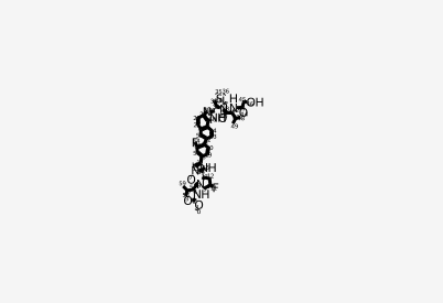 COC(=O)N[C@H](C(=O)N1CC(F)C[C@H]1c1ncc(-c2ccc(-c3ccc4c(ccc5nc([C@@H]6C[Si](C)(C)CN6C(=O)[C@@H](NC(=O)CO)C(C)C)[nH]c54)c3)c(F)c2)[nH]1)C(C)C